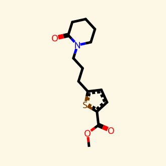 COC(=O)c1ccc(CCCN2CCCCC2=O)s1